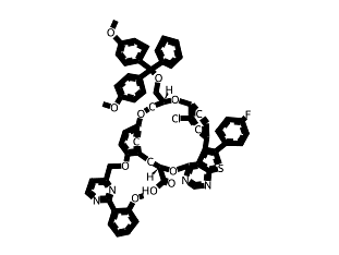 COc1ccc(C(OC[C@@H]2COc3ccc(OCc4ccnc(-c5ccccc5OC)n4)c(c3)C[C@H](C(=O)O)Oc3ncnc4sc(-c5ccc(F)cc5)c(c34)-c3ccc(c(Cl)c3)O2)(c2ccccc2)c2ccc(OC)cc2)cc1